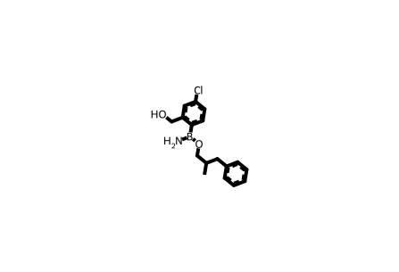 CC(COB(N)c1ccc(Cl)cc1CO)Cc1ccccc1